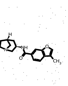 Cc1coc2cc(C(=O)N[C@@H]3C[C@H]4CCN(C4)C3)ccc12